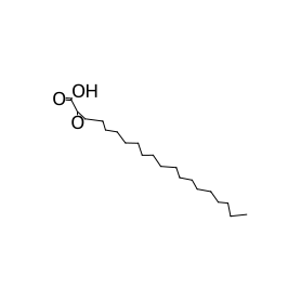 CCCCCCCCCCCCCCCCCC1=C(C(=O)O)O1